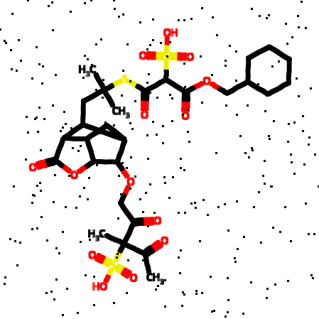 CC(=O)C(C)(C(=O)COC1C2CC3C1OC(=O)C3C2CC(C)(C)SC(=O)C(C(=O)OCC1CCCCC1)S(=O)(=O)O)S(=O)(=O)O